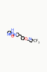 O=C(Nc1cccnn1)N1CCC(=Cc2cccc(OCc3ccc(C(F)(F)F)cn3)c2)CC1